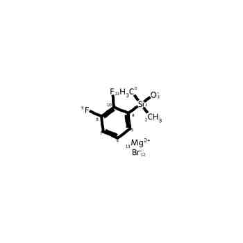 C[Si](C)([O-])c1cccc(F)c1F.[Br-].[Mg+2]